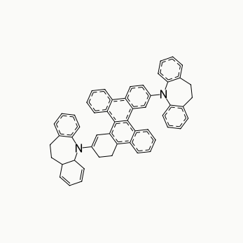 C1=CC2CCc3ccccc3N(C3=Cc4c(c5ccccc5c5c6cc(N7c8ccccc8CCc8ccccc87)ccc6c6ccccc6c45)CC3)C2C=C1